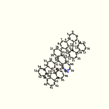 c1ccc2c(c1)-c1ccccc1C21c2ccccc2-c2ccc(-c3c4ccccc4c(-c4ccc5c(c4)C4(c6ccccc6-c6ccccc64)c4ccccc4-5)c4cnccc34)cc21